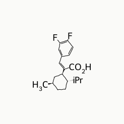 CC(C)[C@@H]1CC[C@@H](C)C[C@H]1/C(=C/c1ccc(F)c(F)c1)C(=O)O